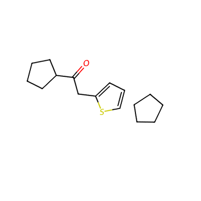 C1CCCC1.O=C(Cc1cccs1)C1CCCC1